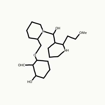 COCCC1NCCCC1C(O)N1CCCCC1COC1CCCC(O)C1C=O